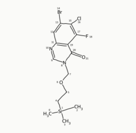 C[Si](C)(C)CCOCn1cnc2cc(Br)c(Cl)c(F)c2c1=O